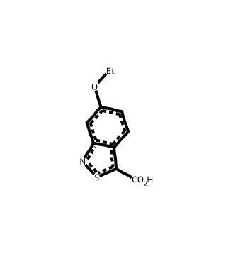 CCOc1ccc2c(C(=O)O)snc2c1